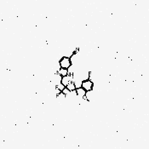 COc1ccc(F)cc1C(C)(C)CC(O)(Cc1nc2ccc(C#N)cc2[nH]1)C(F)(F)F